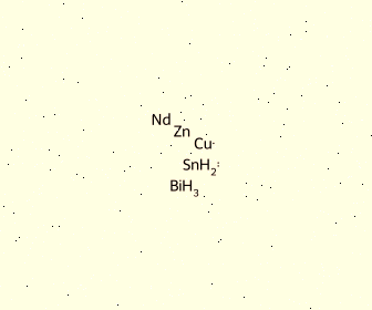 [BiH3].[Cu].[Nd].[SnH2].[Zn]